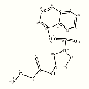 NOCC(=O)NC1CCN(S(=O)(=O)c2cccc3cncc(Cl)c23)C1